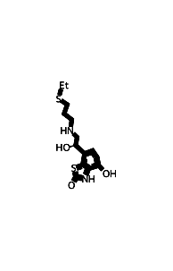 [CH2]CSCCCNC[C@@H](O)c1ccc(O)c2[nH]c(=O)sc12